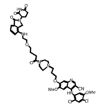 COc1cc(Nc2c(C#N)cnc3cc(OCCCN4CCN(C(=O)CCCOCCNc5cccc6c5CN(C5CCC(=O)NC5=O)C6=O)CC4)c(OC)cc23)c(Cl)cc1Cl